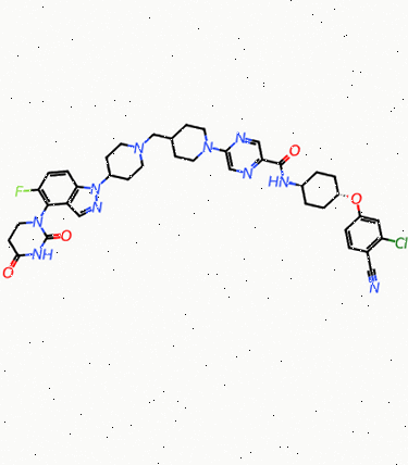 N#Cc1ccc(O[C@H]2CC[C@H](NC(=O)c3cnc(N4CCC(CN5CCC(n6ncc7c(N8CCC(=O)NC8=O)c(F)ccc76)CC5)CC4)cn3)CC2)cc1Cl